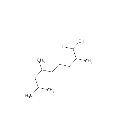 CC(C)CC(C)CCCC(C)C(O)I